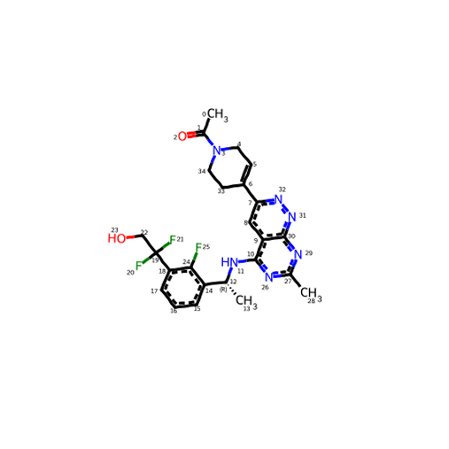 CC(=O)N1CC=C(c2cc3c(N[C@H](C)c4cccc(C(F)(F)CO)c4F)nc(C)nc3nn2)CC1